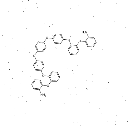 Nc1ccccc1Oc1ccccc1Oc1ccc(Oc2ccc(Oc3ccc(Oc4ccccc4Oc4ccccc4N)cc3)cc2)cc1